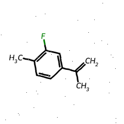 C=C(C)c1ccc(C)c(F)c1